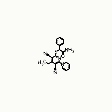 CCc1c(C#N)c(SC(C(N)=O)c2ccccc2)nc(N2C=CC=CC2)c1C#N